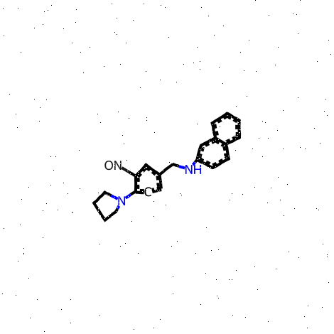 O=Nc1cc(CNc2ccc3ccccc3c2)ccc1N1CCCC1